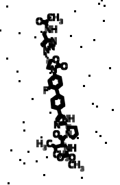 COC(=O)N[C@H](C(=O)N1CCC[C@H]1c1ncc(-c2ccc(-c3ccc(N4C[C@H](Cn5cc(CNC(C)=O)nn5)OC4=O)cc3F)cc2)[nH]1)C(C)C